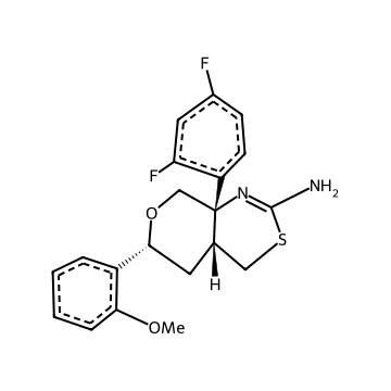 COc1ccccc1[C@H]1C[C@H]2CSC(N)=N[C@@]2(c2ccc(F)cc2F)CO1